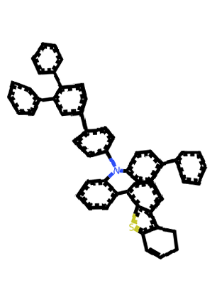 C1=Cc2sc3c(-c4ccccc4N(c4ccc(-c5ccccc5)cc4)c4ccc(-c5ccc(-c6ccccc6)c(-c6ccccc6)c5)cc4)cccc3c2CC1